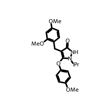 COc1ccc(Oc2c(Cc3ccc(OC)cc3OC)c(=O)[nH]n2C(C)C)cc1